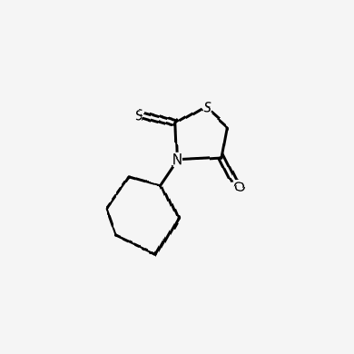 O=C1CSC(=S)N1C1CCCCC1